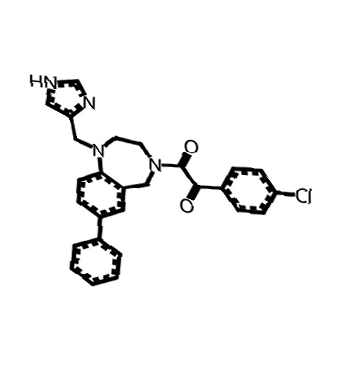 O=C(C(=O)N1CCN(Cc2c[nH]cn2)c2ccc(-c3ccccc3)cc2C1)c1ccc(Cl)cc1